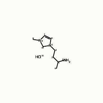 CC(N)CCN1C=CN(C)C1.Cl